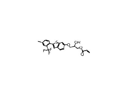 C=CC(=O)OCC(O)COc1ccc2cc(-c3ccc(C)cc3C(F)(F)F)sc2c1